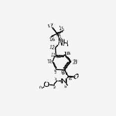 COCCN(C)C(=O)c1ccc(CNC(C)(C)C)cc1